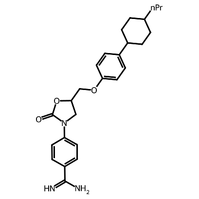 CCCC1CCC(c2ccc(OCC3CN(c4ccc(C(=N)N)cc4)C(=O)O3)cc2)CC1